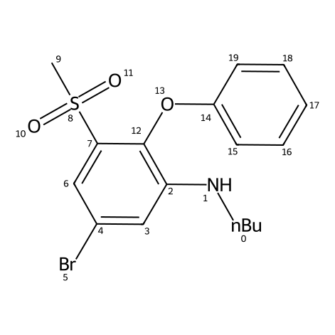 CCCCNc1cc(Br)cc(S(C)(=O)=O)c1Oc1ccccc1